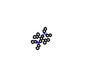 c1ccc2cc(N(c3ccc4ccccc4c3)c3ccc4c(-c5cc6ccccc6c6ccccc56)c5cc(N(c6ccc7ccccc7c6)c6ccc7ccccc7c6)ccc5c(-c5cc6ccccc6c6ccccc56)c4c3)ccc2c1